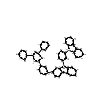 c1ccc(-c2nc(-c3ccccc3)nc(-c3cccc(-c4ccc5c6ccccc6n(-c6cccc(-n7c8ccccc8c8ccccc87)c6)c5c4)c3)n2)cc1